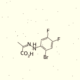 C/C(=N/Nc1cc(F)c(F)cc1Br)C(=O)O